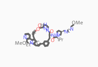 CCn1c(-c2cccnc2[C@H](C)OC)c2c3cc(ccc31)-c1cccc(c1)C[C@H](NC(=O)[C@H](C(C)C)N1CC[C@@H](CN=C=NCCOC)C1)C(=O)N1CCC[C@H](N1)C(=O)OCC(C)(C)C2